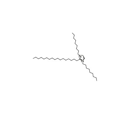 CCCCCCCCCCCCCCCCCc1n(CCCCCCCCC)cc[n+]1CCCCCCCCC